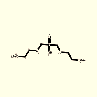 COCCOCP(=O)(O)COCCOC